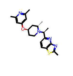 Cc1cc(O[C@@H]2CCN([C@@H](C)c3ccc4sc(C)nc4n3)[C@@H](C)C2)cc(C)n1